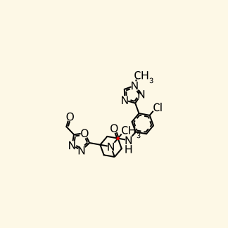 CC1CC2CC(c3nnc(C=O)o3)(C1)N2C(=O)Nc1ccc(Cl)c(-c2ncn(C)n2)c1